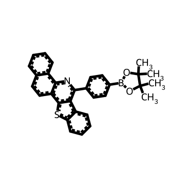 CC1(C)OB(c2ccc(-c3nc4c5ccccc5ccc4c4sc5ccccc5c34)cc2)OC1(C)C